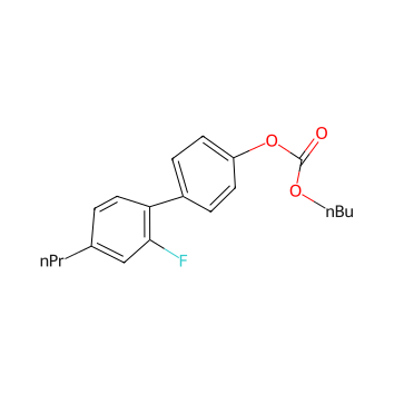 CCCCOC(=O)Oc1ccc(-c2ccc(CCC)cc2F)cc1